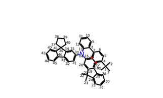 CC(C)(C)c1ccc(-c2ccccc2N(c2ccc3c(c2)C(C)(C)c2ccccc2-3)c2ccc3c(c2)C2(CCCC2)c2ccccc2-3)cc1